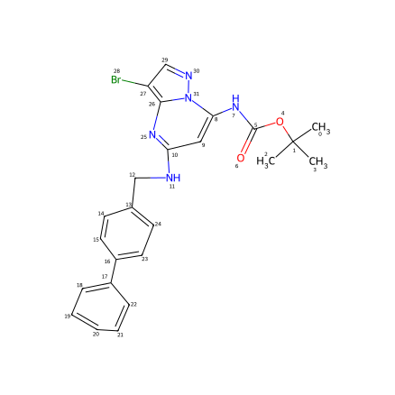 CC(C)(C)OC(=O)Nc1cc(NCc2ccc(-c3ccccc3)cc2)nc2c(Br)cnn12